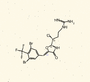 N=C(N)NCC[C@H](Cl)[C@H]1NC(=O)/C(=C/c2cc(Br)c(C(F)(F)F)c(Br)c2)O1